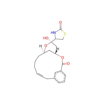 O=C1NC([C@@]2(O)C[C@H]3C[C@@H](CCCC=CCc4cccc(c4)C(=O)O3)O2)CS1